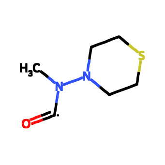 CN([C]=O)N1CCSCC1